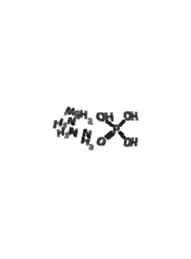 N.N.N.O=P(O)(O)O.[MgH2]